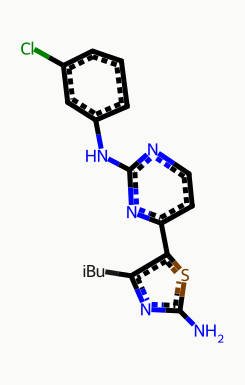 CCC(C)c1nc(N)sc1-c1ccnc(Nc2cccc(Cl)c2)n1